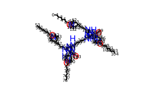 CCCCCCCCON1C(C)(C)CC(CCCCNc2nc(NCCCCCCNc3nc(NCCCCC4CC(C)(C)N(OCCCCCCCC)C(C)(C)C4)nc(N(COC)C4CC(C)(C)N(OCCCCCCCC)C(C)(C)C4)n3)nc(N(COC)C3CC(C)(C)N(OCCCCCCCC)C(C)(C)C3)n2)CC1(C)C